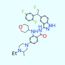 CCN1CCN(c2ccc(C(=O)Nc3n[nH]c4ccc(C(CF)c5cc(F)ccc5F)cc34)c(NC3CCOCC3)c2)CC1C